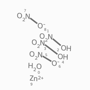 O.O=[N+]([O-])O.O=[N+]([O-])O.O=[N+]([O-])[O-].O=[N+]([O-])[O-].[Zn+2]